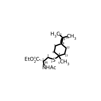 CCOC(=O)[C@H](CSC1(C)CCC(=C(C)C)CC1)NC(C)=O